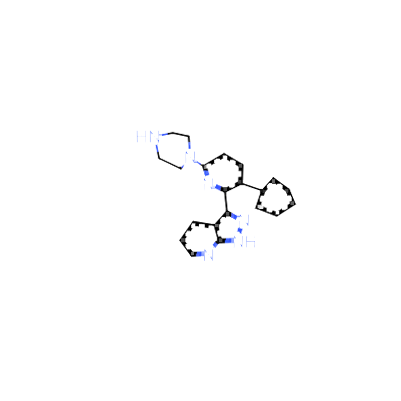 c1ccc(-c2ccc(N3CCNCC3)nc2-c2n[nH]c3ncccc23)cc1